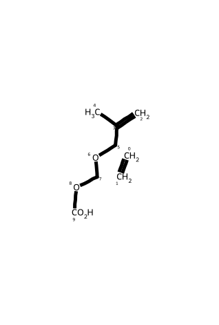 C=C.C=C(C)COCOC(=O)O